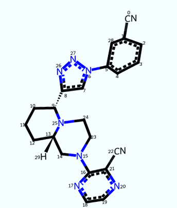 N#Cc1cccc(-n2cc([C@H]3CCC[C@H]4CN(c5nccnc5C#N)CCN43)nn2)c1